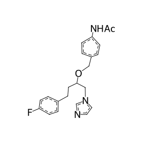 CC(=O)Nc1ccc(COC(CCc2ccc(F)cc2)Cn2ccnc2)cc1